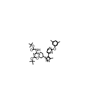 Cc1cc(C)cc(Oc2nccc(-c3c(C)nnn3C3CCN(/C(=N\C(=O)OC(C)(C)C)NC(=O)OC(C)(C)C)CC3)n2)c1